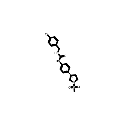 CS(=O)(=O)N1CC[C@H](c2ccc(NC(=O)NCc3ccc(Cl)cc3)cc2)C1